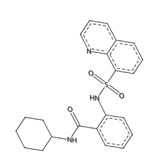 O=C(NC1CCCCC1)c1ccccc1NS(=O)(=O)c1cccc2cccnc12